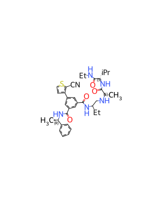 CCNC(=O)[C@@H](NC(=O)[C@H](C)NCC(CC)NC(=O)c1cc(C(=O)N[C@H](C)c2ccccc2)cc(-c2ccsc2C#N)c1)C(C)C